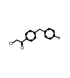 O=C(CCl)c1ccc(Cc2ccc(F)cc2)cc1